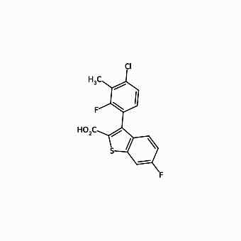 Cc1c(Cl)ccc(-c2c(C(=O)O)sc3cc(F)ccc23)c1F